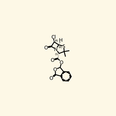 CC1(C)S[C@@H]2[C@H](Cl)C(=O)N2[C@H]1C(=O)OC1OC(=O)c2ccccc21